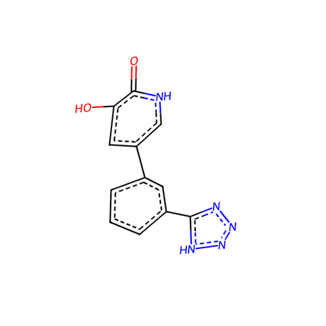 O=c1[nH]cc(-c2cccc(-c3nnn[nH]3)c2)cc1O